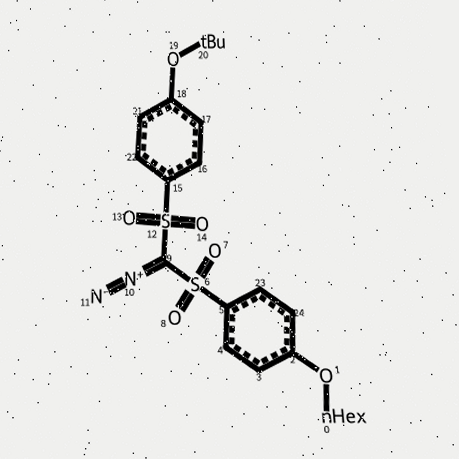 CCCCCCOc1ccc(S(=O)(=O)C(=[N+]=[N-])S(=O)(=O)c2ccc(OC(C)(C)C)cc2)cc1